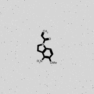 C=CC(=O)N1CCc2c1ccc(OC)c2N